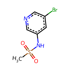 CS(=O)(=O)Nc1cncc(Br)c1